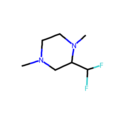 CN1CCN(C)C(C(F)F)C1